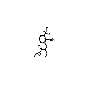 CCOC(=O)C(CC)Cc1cccc(C(F)(F)F)c1C#N